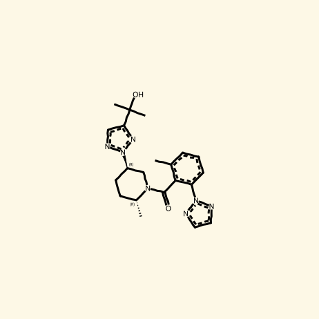 Cc1cccc(-n2nccn2)c1C(=O)N1C[C@H](n2ncc(C(C)(C)O)n2)CC[C@H]1C